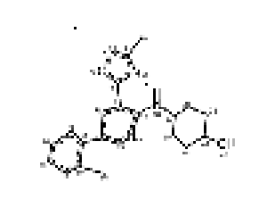 Cc1noc(-c2cc(-c3ccccc3C)cnc2NC2CCC(O)CC2)n1